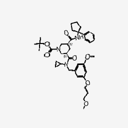 COCCCOc1cc(CN(C(=O)[C@@H]2C[C@H](C(=O)NC3(c4ccccc4)CCCC3)CN(C(=O)OC(C)(C)C)C2)C2CC2)cc(OC)c1